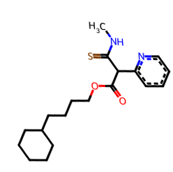 CNC(=S)C(C(=O)OCCCCC1CCCCC1)c1ccccn1